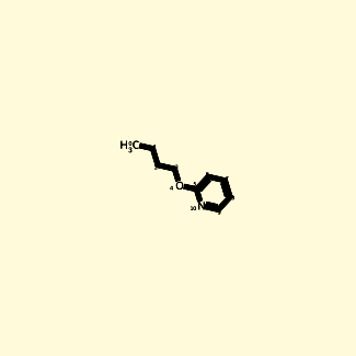 CCCCOc1c[c]ccn1